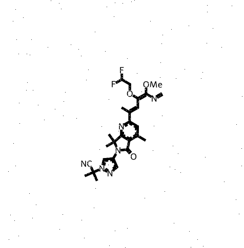 C=N/C(OC)=C(\C=C(/C)c1cc(C)c2c(n1)C(C)(C)N(c1cnn(C(C)(C)C#N)c1)C2=O)OCC(F)F